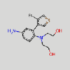 CCc1cscc1-c1cc(N)ccc1N(CCO)CCO